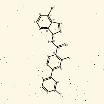 Cc1nc(-c2cccc(F)c2)ncc1C(=O)Nn1ccc2c(F)cccc21